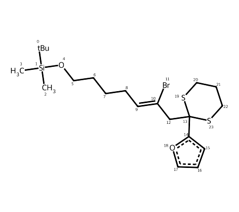 CC(C)(C)[Si](C)(C)OCCCC/C=C(\Br)CC1(c2ccco2)SCCCS1